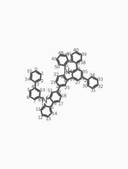 c1ccc(-c2cccc(-n3c4ccccc4c4ccc(-c5ccc6c(c5)c5cc(-c7ccccc7)cc(-c7ccccc7)c5n6-c5ccccc5)cc43)c2)cc1